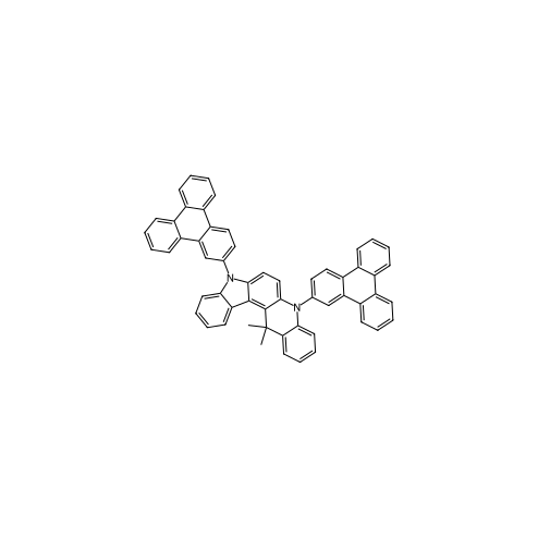 CC1(C)c2ccccc2N(c2ccc3c4ccccc4c4ccccc4c3c2)c2ccc3c(c21)c1ccccc1n3-c1ccc2c3ccccc3c3ccccc3c2c1